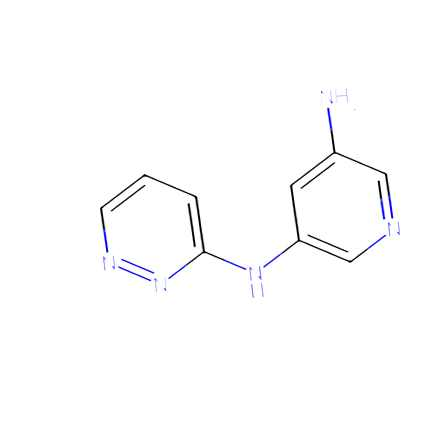 Nc1cncc(Nc2cccnn2)c1